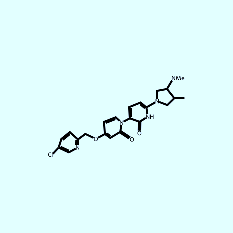 CNC1CN(c2ccc(-n3ccc(OCc4ccc(Cl)cn4)cc3=O)c(=O)[nH]2)CC1C